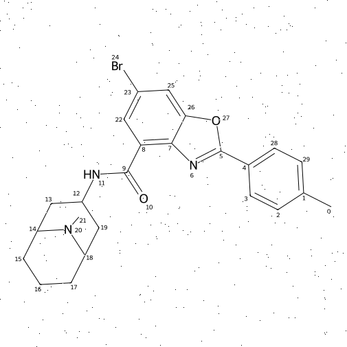 Cc1ccc(-c2nc3c(C(=O)NC4CC5CCCC(C4)N5C)cc(Br)cc3o2)cc1